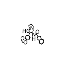 O=C(N[C@H](CN1CCCC1)[C@@H](O)c1ccc2c(c1)OCCO2)C1Cc2ccccc2C1